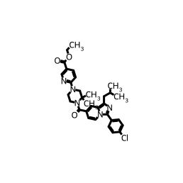 CCOC(=O)c1ccc(N2CCN(C(=O)c3ccn4c(-c5ccc(Cl)cc5)nc(CC(C)C)c4c3)C(C)(C)C2)nc1